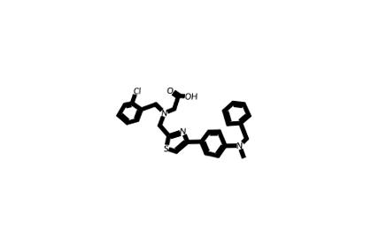 CN(Cc1ccccc1)c1ccc(-c2csc(CN(CC(=O)O)Cc3ccccc3Cl)n2)cc1